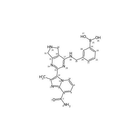 Cc1nc2c(C(N)=O)cccn2c1-c1nc2c(c(NCc3cccc(B(O)O)c3)n1)CNC2